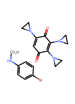 O=C(O)Nc1ccc(Br)cc1.O=C1C=C(N2CC2)C(=O)C(N2CC2)=C1N1CC1